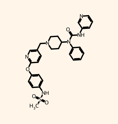 CS(=O)(=O)Nc1ccc(Oc2ccc(CN3CCC(N(C(=O)Nc4cccnc4)c4ccccc4)CC3)cn2)cc1